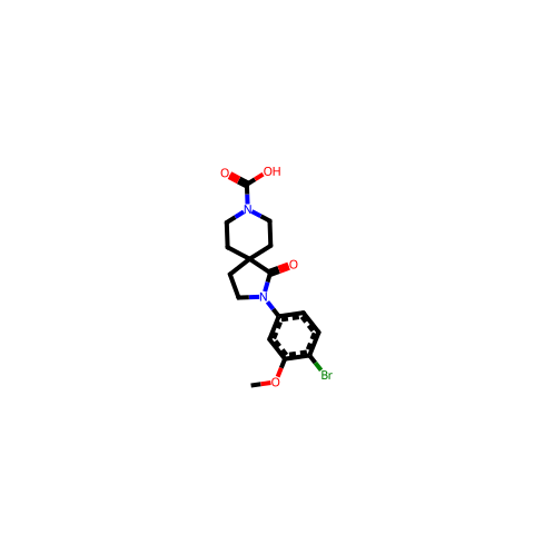 COc1cc(N2CCC3(CCN(C(=O)O)CC3)C2=O)ccc1Br